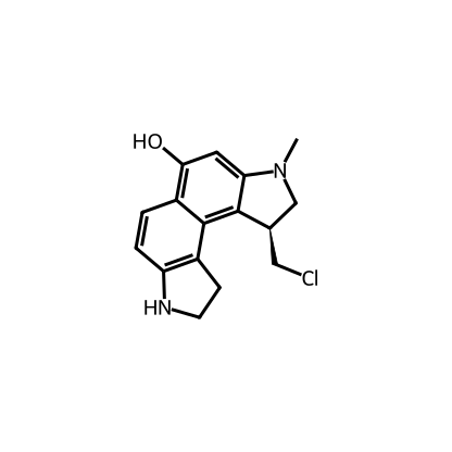 CN1C[C@@H](CCl)c2c1cc(O)c1ccc3c(c21)CCN3